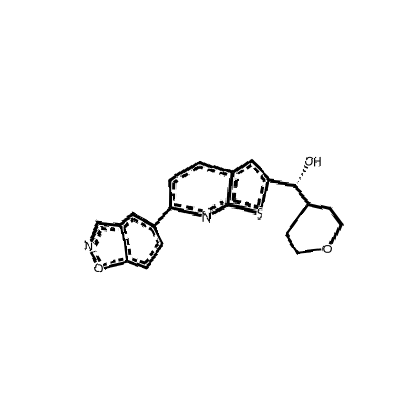 O[C@@H](c1cc2ccc(-c3ccc4oncc4c3)nc2s1)C1CCOCC1